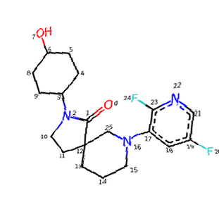 O=C1N(C2CCC(O)CC2)CCC12CCCN(c1cc(F)cnc1F)C2